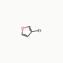 CCc1[c]occ1